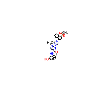 C[C@@H]1CN(c2ccc(S(C)(=O)=O)c3ccccc23)CCN1c1nccc(C(=O)N[C@H]2C3CC4CC2C[C@](O)(C4)C3)n1